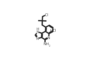 CC(C)(CCl)Cc1cccc2nc(N)c3nc[nH]c3c12.Cl